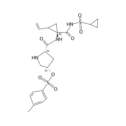 C=CC1C[C@]1(NC(=O)[C@@H]1C[C@H](OS(=O)(=O)c2ccc(C)cc2)CN1)C(=O)NS(=O)(=O)C1CC1